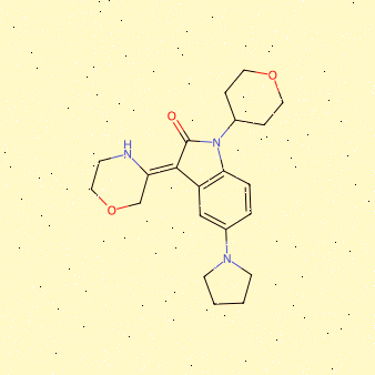 O=C1/C(=C2/COCCN2)c2cc(N3CCCC3)ccc2N1C1CCOCC1